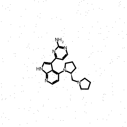 Nc1nccc(-c2c[nH]c3nccc(N4CCC[C@H]4CN4CCCC4)c23)n1